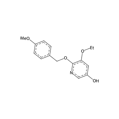 CCOc1cc(O)cnc1OCc1ccc(OC)cc1